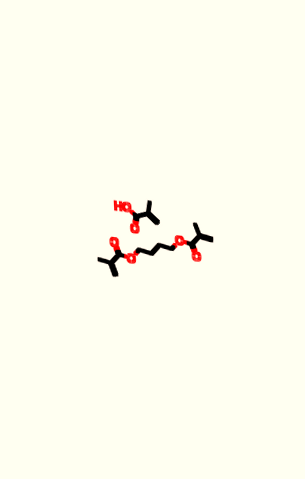 C=C(C)C(=O)O.C=C(C)C(=O)OCCCCOC(=O)C(=C)C